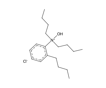 CCCCc1ccccc1[N+](O)(CCCC)CCCC.[Cl-]